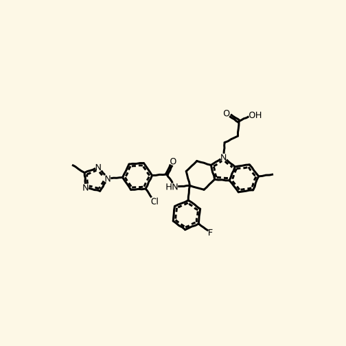 Cc1ccc2c3c(n(CCC(=O)O)c2c1)CCC(NC(=O)c1ccc(-n2cnc(C)n2)cc1Cl)(c1cccc(F)c1)C3